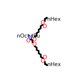 CCCCCC/C=C\COC(=O)CCCCCCCOCC(OCCCCCCCC(=O)OC/C=C\CCCCCC)C(=O)N(CCCCCCCC)C(C)(C)C